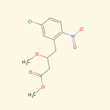 COC(=O)CC(Cc1cc(Cl)ccc1[N+](=O)[O-])OC